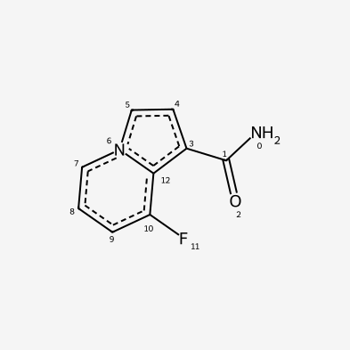 NC(=O)c1ccn2cccc(F)c12